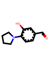 O=Cc1ccc(N2CCCC2)c(O)c1